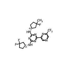 CC1(F)CC[C@@H](Nc2nc(N[C@@H]3CCC(F)(F)C3)nc(-c3cncc(C(F)(F)F)n3)n2)C1